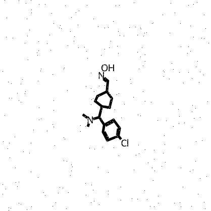 CN(C)C(c1ccc(Cl)cc1)C1CCC(/C=N/O)CC1